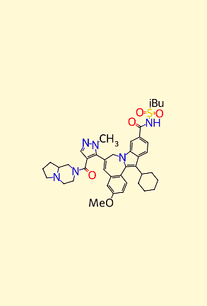 CCC(C)S(=O)(=O)NC(=O)c1ccc2c(C3CCCCC3)c3n(c2c1)CC(c1c(C(=O)N2CCN4CCCC4C2)cnn1C)=Cc1cc(OC)ccc1-3